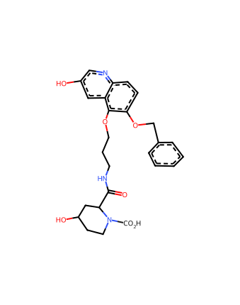 O=C(NCCCOc1c(OCc2ccccc2)ccc2ncc(O)cc12)C1CC(O)CCN1C(=O)O